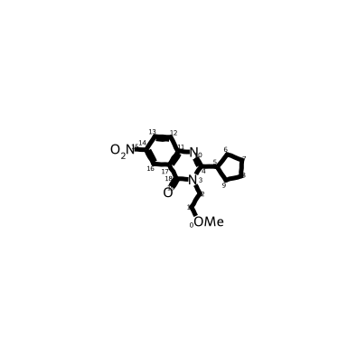 COCCn1c(C2CCCC2)nc2ccc([N+](=O)[O-])cc2c1=O